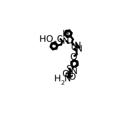 NS(=O)(=O)c1nc2ccc(OCc3cn([C@@H](CNC(Cc4ccccc4)C(=O)O)Cc4ccccc4)nn3)cc2s1